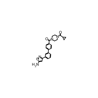 Nc1cc(-c2cccc(-c3ccc(C(=O)N4CCN(C(=O)C5CC5)CC4)cc3)c2)no1